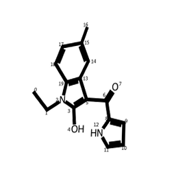 CCn1c(O)c(C(=O)c2ccc[nH]2)c2cc(C)ccc21